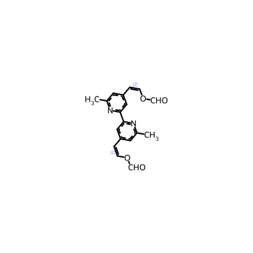 Cc1cc(/C=C\OC=O)cc(-c2cc(/C=C\OC=O)cc(C)n2)n1